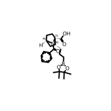 CC1(C)OB(CCC[C@@H]2C[C@H]3CC[C@]2(C(=O)O)N3C(=O)c2ccccc2)OC1(C)C